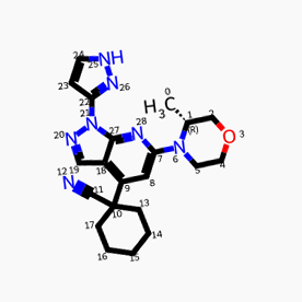 C[C@@H]1COCCN1c1cc(C2(C#N)CCCCC2)c2cnn(-c3cc[nH]n3)c2n1